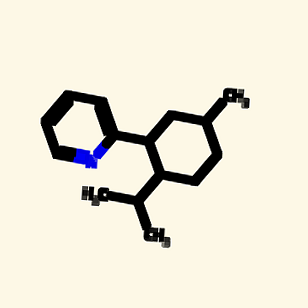 CC1CCC(C(C)C)[C](c2ccccn2)C1